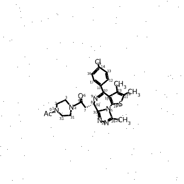 CC(=O)N1CCN(C(=O)C[C@@H]2N=C(c3ccc(Cl)cc3)c3c(sc(C)c3C)-n3c(C)nnc32)CC1